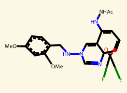 COc1ccc(CNN2C=NC34OC(F)(F)OC3=CC=C(NNC(C)=O)C4=C2)c(OC)c1